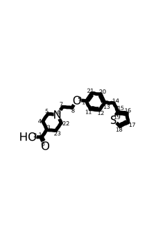 O=C(O)C1CCN(CCOc2ccc(Cc3cccs3)cc2)CC1